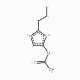 CCCc1ncc(OC(=O)O)s1